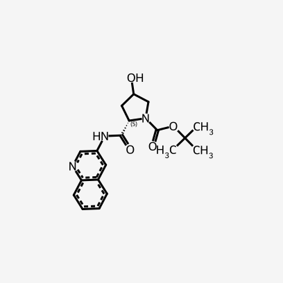 CC(C)(C)OC(=O)N1CC(O)C[C@H]1C(=O)Nc1cnc2ccccc2c1